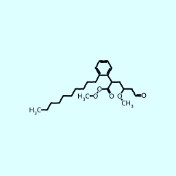 CCCCCCCCCCc1ccccc1C(CC(CC=O)OC)C(=O)OOC